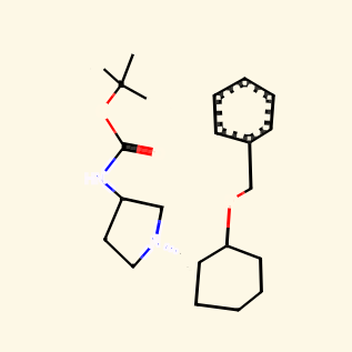 CC(C)(C)OC(=O)NC1CCN([C@H]2CCCCC2OCc2ccccc2)C1